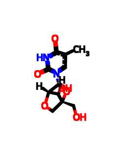 Cc1cn([C@@H]2O[C@]3(CO)CO[C@H]2[C@H]3O)c(=O)[nH]c1=O